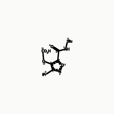 CC(C)c1noc(C(=O)NC(C)(C)C)c1OC(=O)O